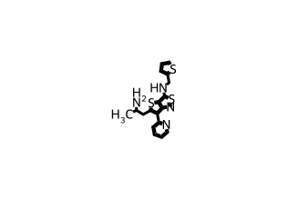 CC(N)Cc1sc2c(NCc3cccs3)snc2c1-c1ccccn1